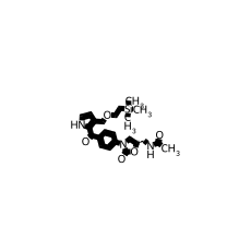 CC(=O)NC[C@H]1CN(c2ccc(C(=O)c3[nH]ccc3COCC[Si](C)(C)C)cc2)C(=O)O1